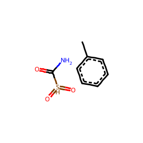 Cc1ccccc1.NC(=O)[SH](=O)=O